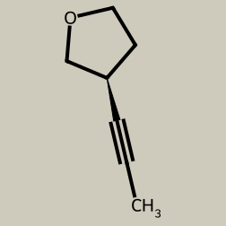 CC#C[C@@H]1CCOC1